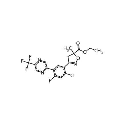 CCOC(=O)C1(C)CC(c2cc(-c3cnc(C(F)(F)F)cn3)c(F)cc2Cl)=NO1